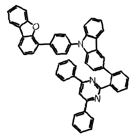 c1ccc(-c2cc(-c3ccccc3)nc(-c3ccccc3-c3ccc4c(c3)c3ccccc3n4-c3ccc(-c4cccc5c4oc4ccccc45)cc3)n2)cc1